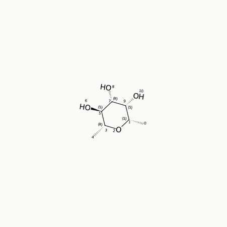 C[C@@H]1O[C@H](C)[C@@H](O)[C@H](O)[C@@H]1O